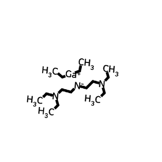 CCN(CC)CC[N-]CCN(CC)CC.C[CH2][Ga+][CH2]C